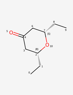 CC[C@@H]1CC(=O)C[C@H](CC)O1